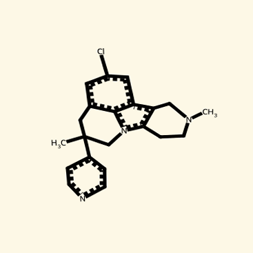 CN1CCc2c(c3cc(Cl)cc4c3n2CC(C)(c2ccncc2)C4)C1